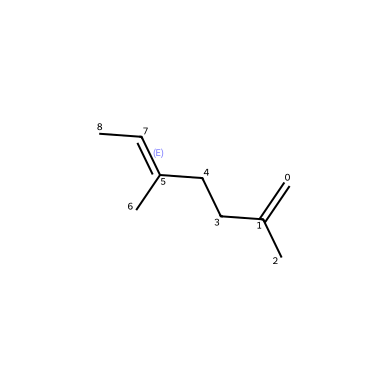 C=C(C)CC/C(C)=C/C